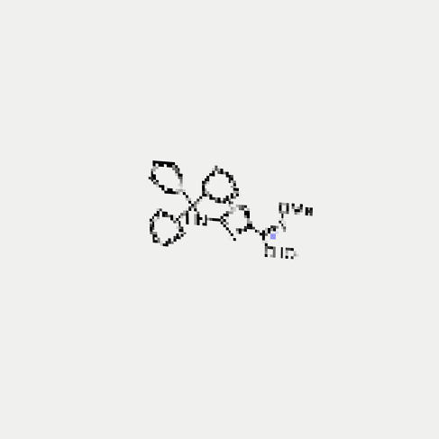 CO/N=C(/[C]=O)c1csc(NC(c2ccccc2)(c2ccccc2)c2ccccc2)n1